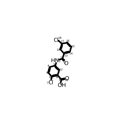 O=C(Nc1ccc(Cl)c(C(=O)O)c1)c1cccc(Cl)c1